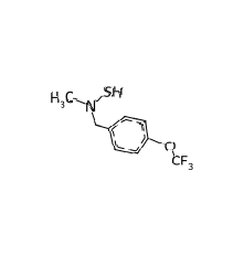 CN(S)Cc1ccc(OC(F)(F)F)cc1